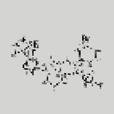 O=C(N(CC1CCC2(c3noc(C4(C(F)(F)F)CC4)n3)CCCC1C2)c1cccc(Br)c1)C12CC(F)(C1)C2